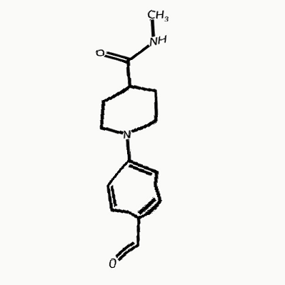 CNC(=O)C1CCN(c2ccc(C=O)cc2)CC1